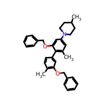 Cc1ccc(-c2c(C)cc(N3CCC(C)CC3)cc2OCc2ccccc2)cc1OCc1ccccc1